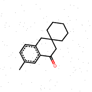 Cc1ccc2c(c1)C(=O)CC1(CCCCC1)C2